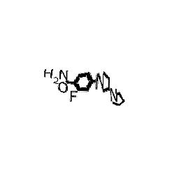 NC(=O)c1ccc(N2CC[C@H](N3CCCC3)C2)cc1F